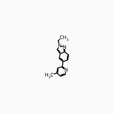 CCn1cc2cc(-c3cc(C)ccn3)ccc2n1